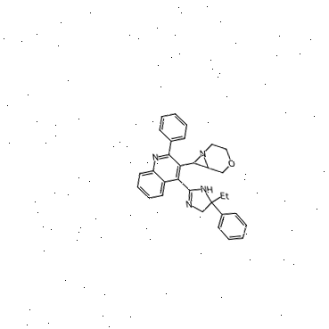 CCC1(c2ccccc2)CN=C(c2c(C3C4COCCN43)c(-c3ccccc3)nc3ccccc23)N1